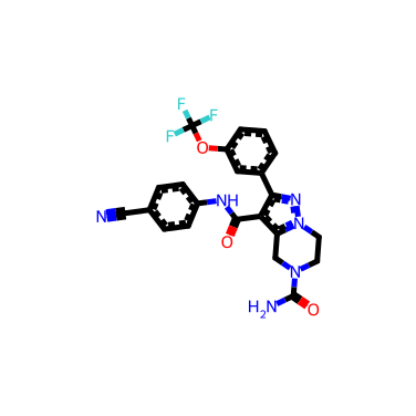 N#Cc1ccc(NC(=O)c2c(-c3cccc(OC(F)(F)F)c3)nn3c2CN(C(N)=O)CC3)cc1